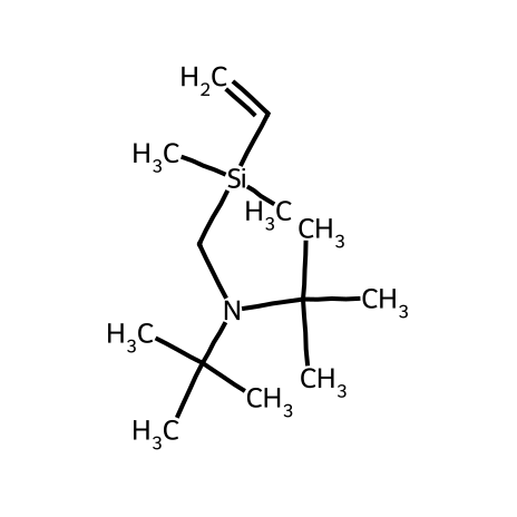 C=C[Si](C)(C)CN(C(C)(C)C)C(C)(C)C